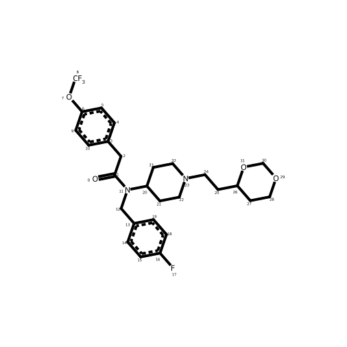 O=C(Cc1ccc(OC(F)(F)F)cc1)N(Cc1ccc(F)cc1)C1CCN(CCC2CCOCO2)CC1